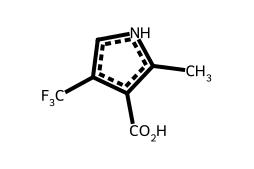 Cc1[nH]cc(C(F)(F)F)c1C(=O)O